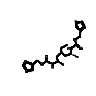 CCN(C[C@@H](C)NC(=O)OCc1cncs1)C[C@@H](C)NC(=O)OCc1cncs1